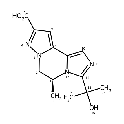 C[C@H]1Cn2nc(C(=O)O)cc2-c2cnc(C(C)(O)C(F)(F)F)n21